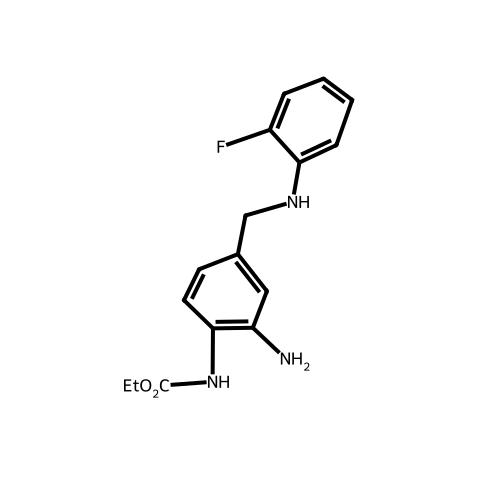 CCOC(=O)Nc1ccc(CNc2ccccc2F)cc1N